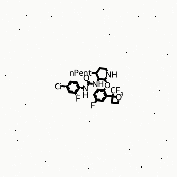 CCCCCC1CCNC(Oc2ccc(F)cc2C2(C(F)(F)F)CCO2)C1NC(=O)Nc1ccc(Cl)cc1F